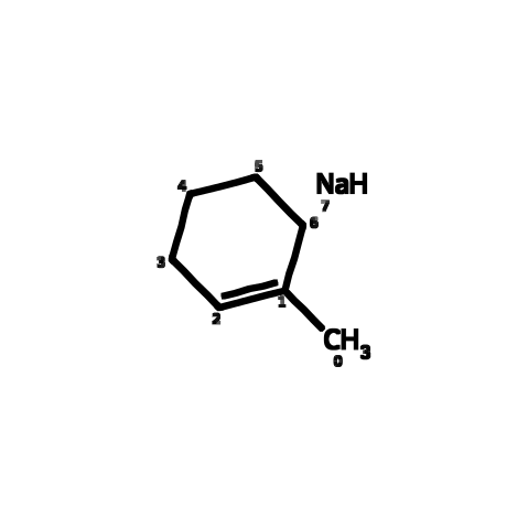 CC1=CCCCC1.[NaH]